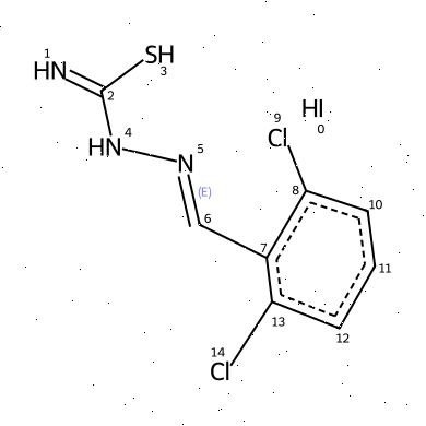 I.N=C(S)N/N=C/c1c(Cl)cccc1Cl